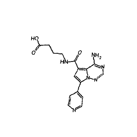 Nc1ncnn2c(-c3ccncc3)cc(C(=O)NCCCC(=O)O)c12